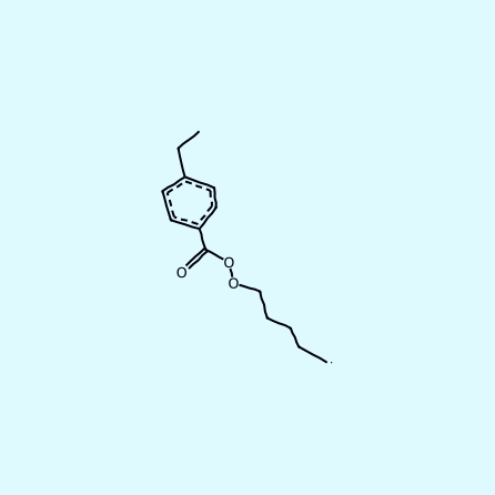 [CH2]CCCCOOC(=O)c1ccc(CC)cc1